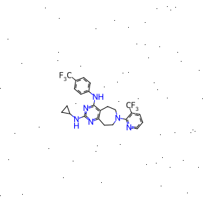 FC(F)(F)c1ccc(Nc2nc(NC3CC3)nc3c2CCN(c2ncccc2C(F)(F)F)CC3)cc1